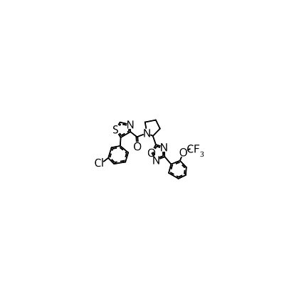 O=C(c1ncsc1-c1cccc(Cl)c1)N1CCCC1c1nc(-c2ccccc2OC(F)(F)F)no1